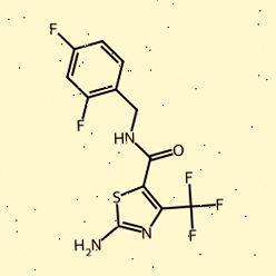 Nc1nc(C(F)(F)F)c(C(=O)NCc2ccc(F)cc2F)s1